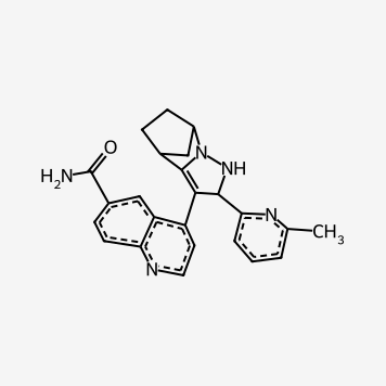 Cc1cccc(C2NN3C(=C2c2ccnc4ccc(C(N)=O)cc24)C2CCC3C2)n1